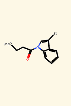 CCc1cn(C(=O)CCOC)c2ccccc12